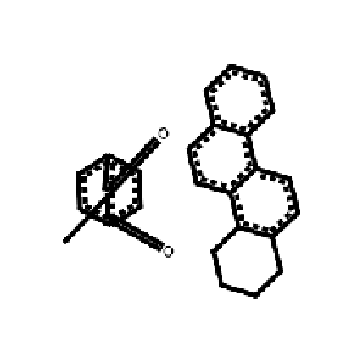 O=c1oc(=O)c2ccc1cc2.c1ccc2c(c1)ccc1c3c(ccc12)CCCC3